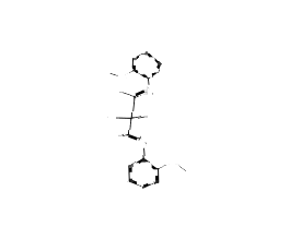 COc1ccccc1N=C(Cl)C(Cl)(Cl)C(Cl)=Nc1ccccc1OC